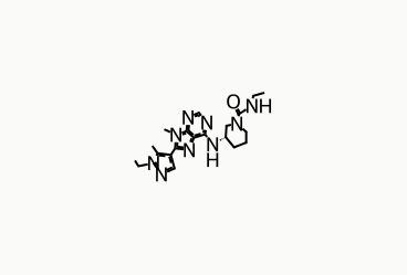 CCNC(=O)N1CCC[C@H](Nc2ncnc3c2nc(-c2cnn(CC)c2C)n3C)C1